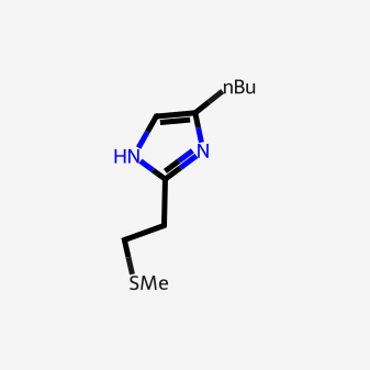 CCCCc1c[nH]c(CCSC)n1